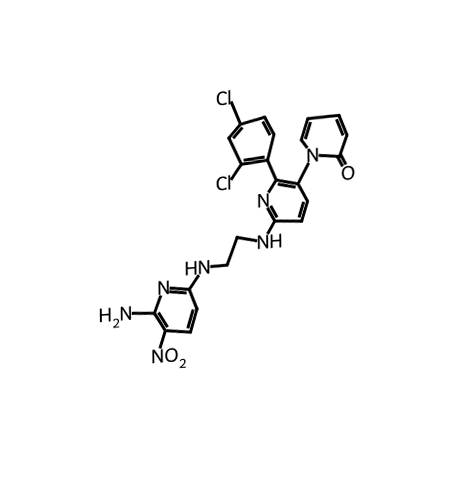 Nc1nc(NCCNc2ccc(-n3ccccc3=O)c(-c3ccc(Cl)cc3Cl)n2)ccc1[N+](=O)[O-]